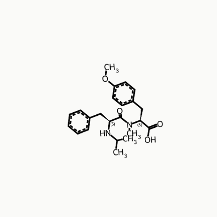 COc1ccc(C[C@@H](C(=O)O)N(C)C(=O)[C@H](Cc2ccccc2)NC(C)C)cc1